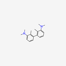 Cc1c(-c2cccc(N(C)C)c2C)cccc1N(C)C